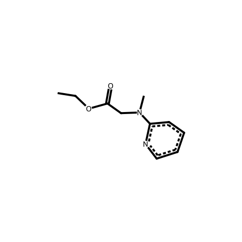 CCOC(=O)CN(C)c1ccccn1